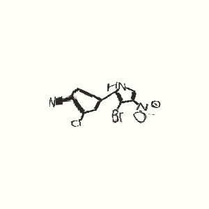 N#Cc1ccc(-c2[nH]cc([N+](=O)[O-])c2Br)cc1Cl